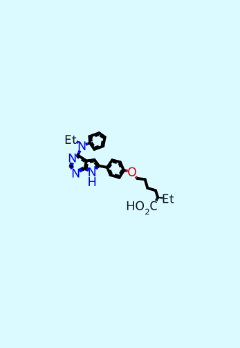 CC[C@H](CCCCOc1ccc(-c2cc3c(N(CC)c4ccccc4)ncnc3[nH]2)cc1)C(=O)O